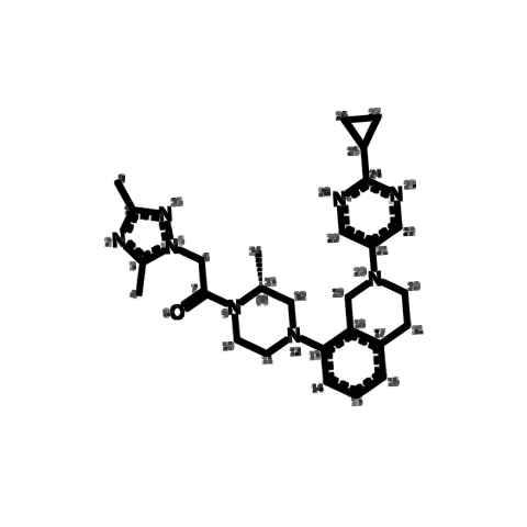 Cc1nc(C)n(CC(=O)N2CCN(c3cccc4c3CN(c3cnc(C5CC5)nc3)CC4)C[C@H]2C)n1